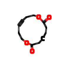 O=C1CCCCC(=O)OCCC#CCCO1